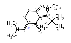 CN(C)/C=C1\CCc2nn(C)c(C(C)(C)C)c2C1=O